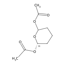 CC(=O)OC1CCC[C@H](OC(C)=O)O1